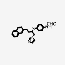 O=CNc1ccc(SC(CCc2ccc3ccccc3c2)Cn2ccnc2)cc1